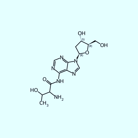 CC(O)C(N)C(=O)Nc1ncnc2c1ncn2[C@H]1C[C@H](O)[C@@H](CO)O1